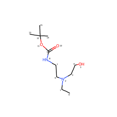 CCN(CCO)CCNC(=O)OC(C)(C)C